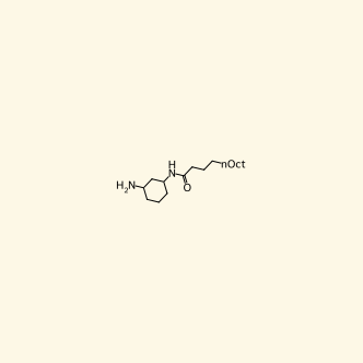 CCCCCCCCCCCC(=O)NC1CCCC(N)C1